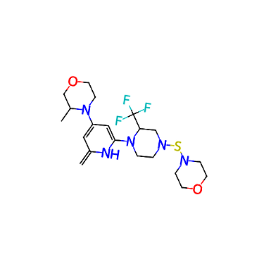 C=C1C=C(N2CCOCC2C)C=C(N2CCN(SN3CCOCC3)CC2C(F)(F)F)N1